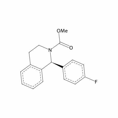 COC(=O)N1CCc2ccccc2[C@@H]1c1ccc(F)cc1